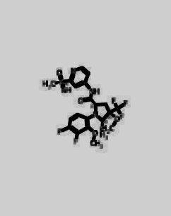 COc1c(N2[C@@H](C(=O)Nc3ccnc([S@](C)(=N)=O)c3)C[C@](OC)(C(F)(F)F)[C@H]2C)ccc(F)c1F